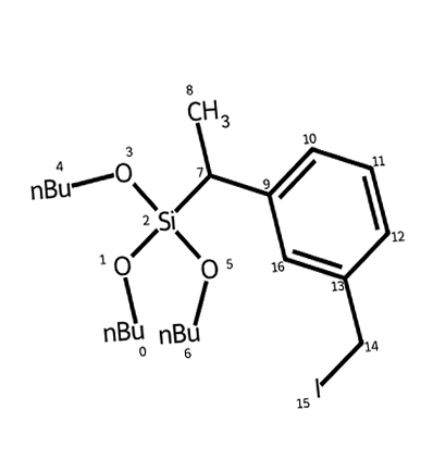 CCCCO[Si](OCCCC)(OCCCC)C(C)c1cccc(CI)c1